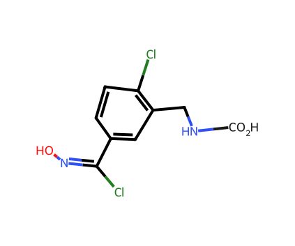 O=C(O)NCc1cc(/C(Cl)=N\O)ccc1Cl